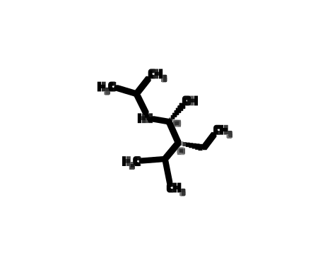 CC[C@H](C(C)C)[C@@H](O)NC(C)C